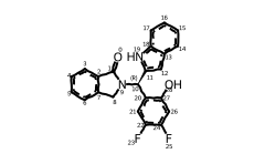 O=C1c2ccccc2CN1[C@@H](c1cc2ccccc2[nH]1)c1cc(F)c(F)cc1O